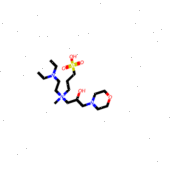 CCN(CC)CC[N+](C)(CCCS(=O)(=O)O)CC(O)CN1CCOCC1